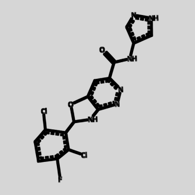 O=C(Nc1cn[nH]c1)c1cc2c(nn1)NC(c1c(Cl)ccc(F)c1Cl)O2